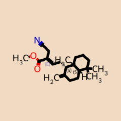 C=C1CC[C@H]2C(C)(C)CCC[C@]2(C)[C@H]1C/C=C(\CC#N)C(=O)OC